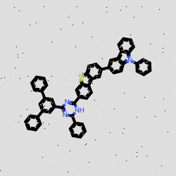 c1ccc(-c2cc(C3=NC(c4ccccc4)NC(c4ccc5c(c4)sc4ccc(-c6ccc7c(c6)c6ccccc6n7-c6ccccc6)cc45)=N3)cc(-c3ccccc3)c2)cc1